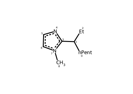 CCCCCC(CC)c1nccn1C